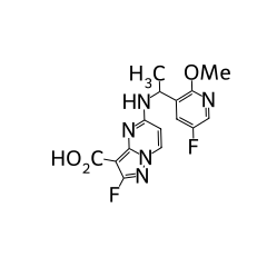 COc1ncc(F)cc1C(C)Nc1ccn2nc(F)c(C(=O)O)c2n1